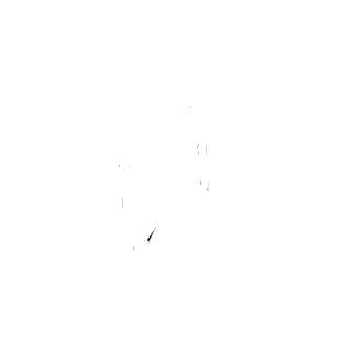 COC1CO[C@@H]2[C@H](Cl)CN(C)[C@H]12